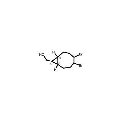 OC[C@@H]1[C@H]2CCC(Br)C(Br)CC[C@@H]12